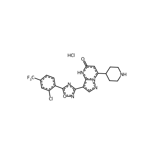 Cl.O=c1cc(C2CCNCC2)n2ncc(-c3noc(-c4ccc(C(F)(F)F)cc4Cl)n3)c2[nH]1